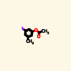 CC(=O)Oc1cc(C)cc(I)c1